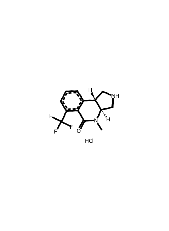 CN1C(=O)c2c(cccc2C(F)(F)F)[C@@H]2CNC[C@H]21.Cl